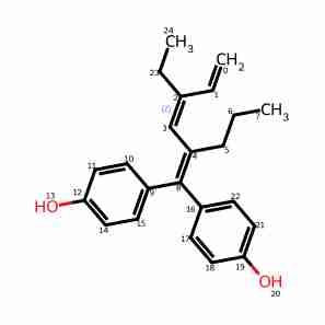 C=C/C(=C\C(CCC)=C(c1ccc(O)cc1)c1ccc(O)cc1)CC